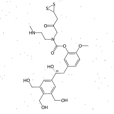 CNCCN(CC(=O)CC1SS1)C(=O)Oc1cc(C[C@@H](O)c2cc(CO)c(CO)c(CO)c2)ccc1OC